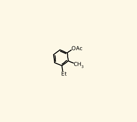 CCc1cccc(OC(C)=O)c1C